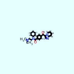 CN(C)CCN(C(=O)c1ccc(C(=O)c2cnc3ccccn23)cc1)C1CCCCC1